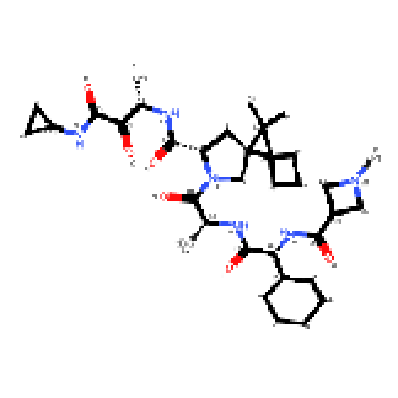 CCC[C@H](NC(=O)[C@@H]1C[C@@]2(CN1C(=O)[C@@H](NC(=O)[C@@H](NC(=O)C1CN(C(C)C)C1)C1CCCCC1)C(C)(C)C)C(C)(C)C21CCC1)C(=O)C(=O)NC1CC1